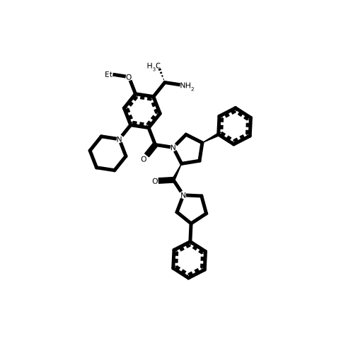 CCOc1cc(N2CCCCC2)c(C(=O)N2C[C@@H](c3ccccc3)C[C@H]2C(=O)N2CCC(c3ccccc3)C2)cc1[C@H](C)N